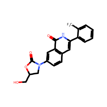 O=C1OC(CO)CN1c1ccc2cc(-c3ccccc3C(F)(F)F)[nH]c(=O)c2c1